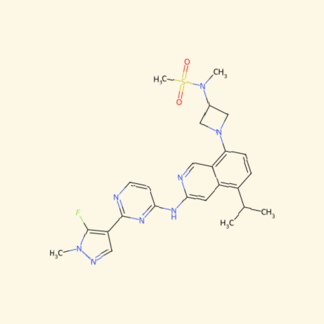 CC(C)c1ccc(N2CC(N(C)S(C)(=O)=O)C2)c2cnc(Nc3ccnc(-c4cnn(C)c4F)n3)cc12